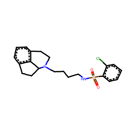 O=S(=O)(NCCCCN1CCc2cccc3c2C1CC3)c1ccccc1Cl